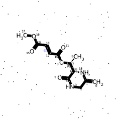 C=C1CNC(=O)[C@H]([C@@H](C)OC(=O)/C=C/C(=O)OC)N1